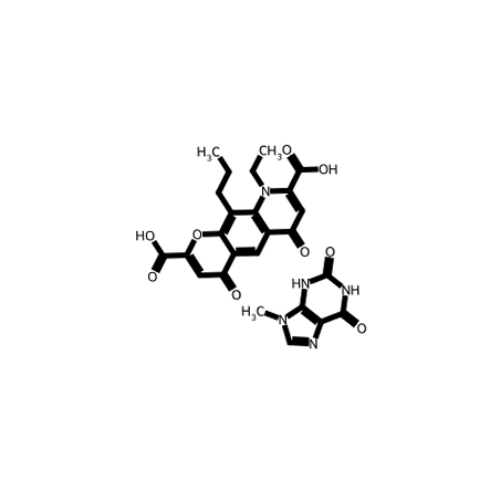 CCCc1c2oc(C(=O)O)cc(=O)c2cc2c(=O)cc(C(=O)O)n(CC)c12.Cn1cnc2c(=O)[nH]c(=O)[nH]c21